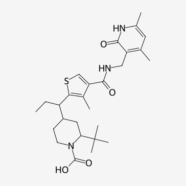 CCC(c1scc(C(=O)NCc2c(C)cc(C)[nH]c2=O)c1C)C1CCN(C(=O)O)C(C(C)(C)C)C1